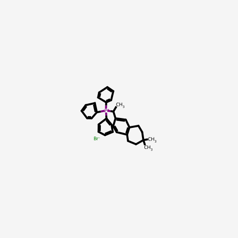 CC(c1ccc2c(c1)CCC(C)(C)CC2)[P+](c1ccccc1)(c1ccccc1)c1ccccc1.[Br-]